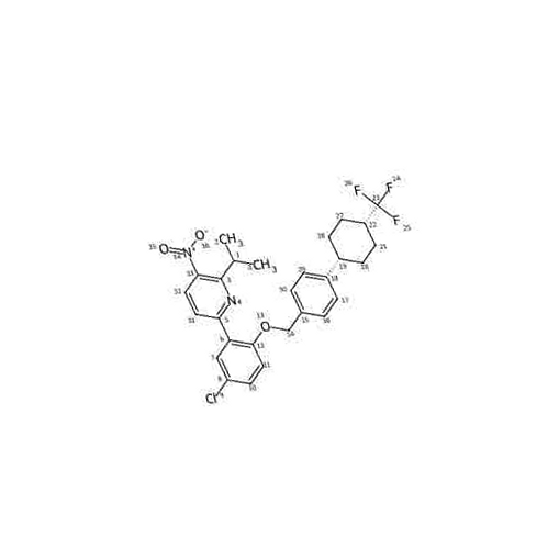 CC(C)c1nc(-c2cc(Cl)ccc2OCc2ccc([C@H]3CC[C@@H](C(F)(F)F)CC3)cc2)ccc1[N+](=O)[O-]